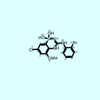 COc1cc(Cl)cc2c1NC(Nc1ccccc1C(C)=O)=NS2(O)O